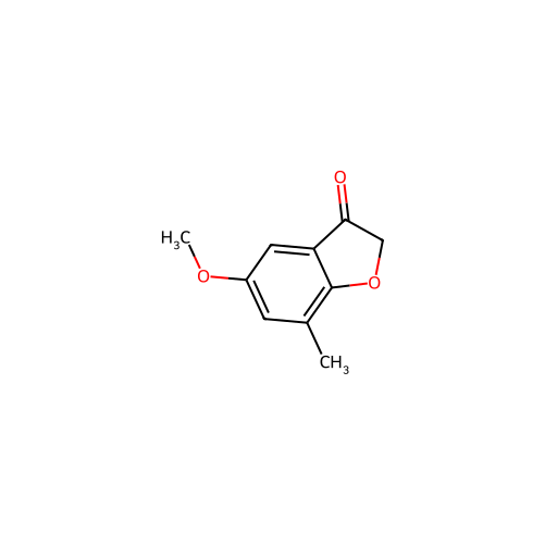 COc1cc(C)c2c(c1)C(=O)CO2